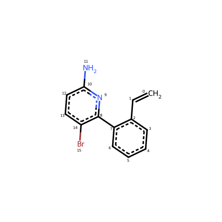 C=Cc1ccccc1-c1nc(N)ccc1Br